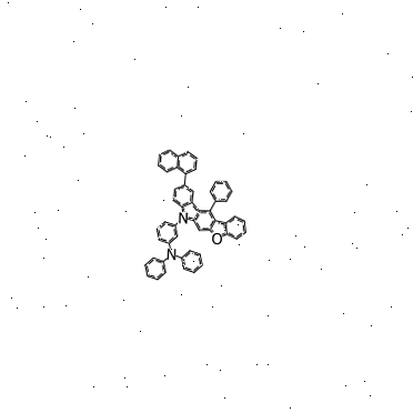 c1ccc(-c2c3c(cc4c2c2cc(-c5cccc6ccccc56)ccc2n4-c2cccc(N(c4ccccc4)c4ccccc4)c2)oc2ccccc23)cc1